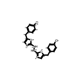 Clc1ccc(Cc2cnc(NNc3ncc(Cc4ccc(Cl)cc4)o3)o2)cc1